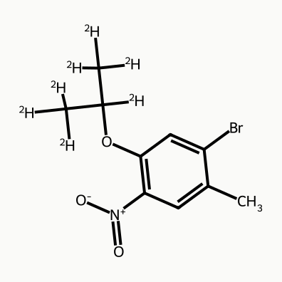 [2H]C([2H])([2H])C([2H])(Oc1cc(Br)c(C)cc1[N+](=O)[O-])C([2H])([2H])[2H]